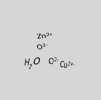 O.[Cu+2].[O-2].[O-2].[Zn+2]